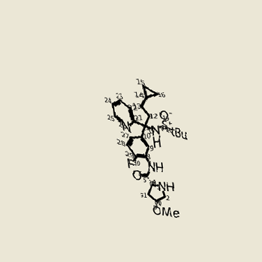 CO[C@H]1CN[C@@H](C(=O)Nc2cc(C(CCC3CC3)(N[S@@+]([O-])C(C)(C)C)c3ccccn3)ccc2F)C1